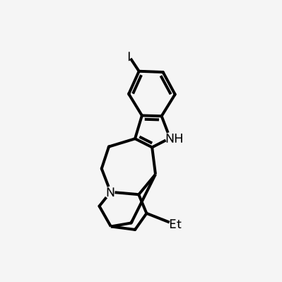 CCC1CC2CC3c4[nH]c5ccc(I)cc5c4CCN(C2)C13